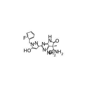 C[C@]1(C(N)=O)C(=O)Nc2nc(-c3cc(O)n(Cc4ccccc4F)n3)nc(N)c21